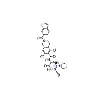 N#C/N=C(/NC(NC(=O)c1c(Cl)cc2c(c1Cl)CCN(C(=O)c1ccc3ccoc3c1)C2)C(=O)O)N1CCCC1